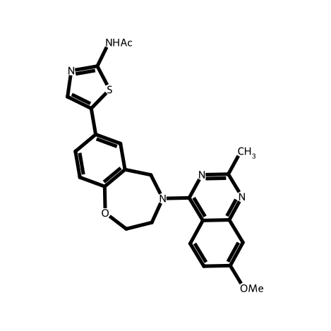 COc1ccc2c(N3CCOc4ccc(-c5cnc(NC(C)=O)s5)cc4C3)nc(C)nc2c1